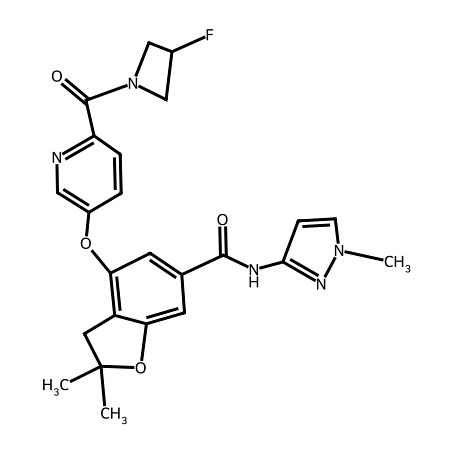 Cn1ccc(NC(=O)c2cc(Oc3ccc(C(=O)N4CC(F)C4)nc3)c3c(c2)OC(C)(C)C3)n1